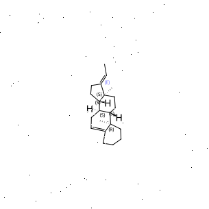 C/C=C1\CC[C@H]2[C@@H]3CC=C4CCCC[C@]4(C)[C@H]3CC[C@]12C